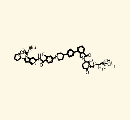 CN1CCC[C@@H]1c1cc2cnc(NC(=O)c3ccc(N4CCC(c5ccc(-c6cccc7c6CN(C6CCC(=O)N(COCC[Si](C)(C)C)C6=O)C7=O)cc5)CC4)cc3F)cc2n1C(=O)OC(C)(C)C